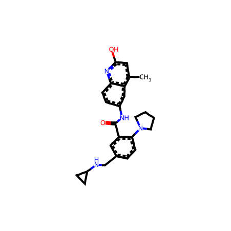 Cc1cc(O)nc2ccc(NC(=O)c3cc(CNC4CC4)ccc3N3CCCC3)cc12